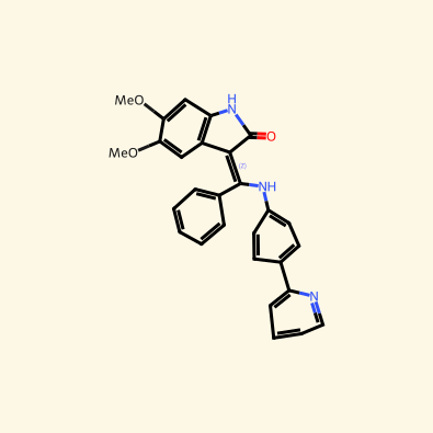 COc1cc2c(cc1OC)/C(=C(/Nc1ccc(-c3ccccn3)cc1)c1ccccc1)C(=O)N2